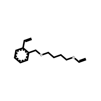 C=COCCCCOCc1ccccc1C=C